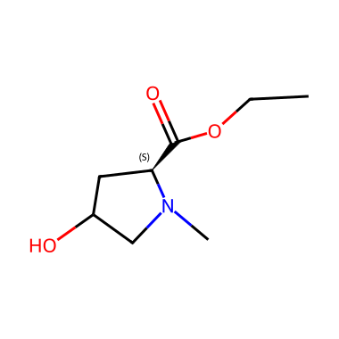 CCOC(=O)[C@@H]1CC(O)CN1C